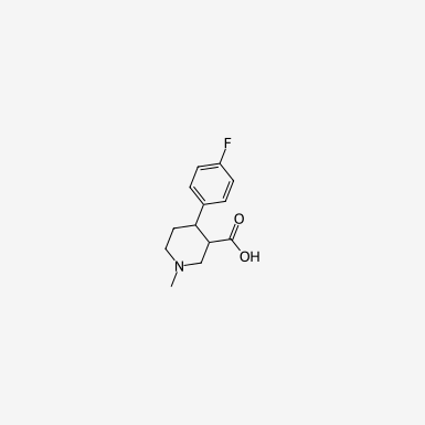 CN1CCC(c2ccc(F)cc2)C(C(=O)O)C1